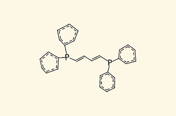 C(C=CP(c1ccccc1)c1ccccc1)=CP(c1ccccc1)c1ccccc1